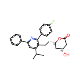 CC(C)c1cc(-c2ccccc2)nc(-c2ccc(F)cc2)c1CC[C@H]1C[C@@H](O)CC(=O)O1